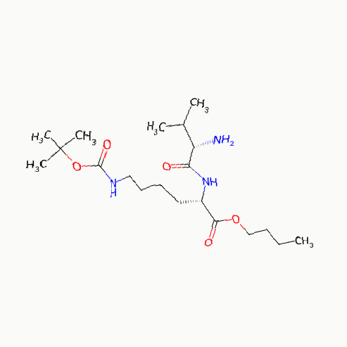 CCCCOC(=O)[C@H](CCCCNC(=O)OC(C)(C)C)NC(=O)[C@@H](N)C(C)C